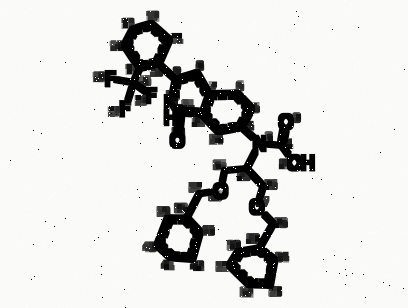 O=C(O)N(c1ccc2cc(-c3ccccc3C(F)(F)F)[nH]c(=O)c2c1)C(COCc1ccccc1)COCc1ccccc1